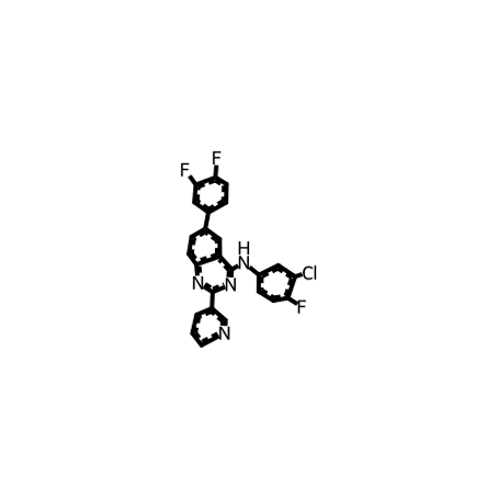 Fc1ccc(-c2ccc3nc(-c4cccnc4)nc(Nc4ccc(F)c(Cl)c4)c3c2)cc1F